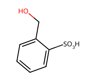 O=S(=O)(O)c1ccccc1CO